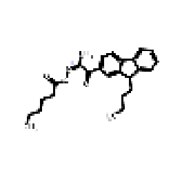 CCCCCC(=O)O/N=C(/C)C(=O)c1ccc2c(c1)C(CCCC)c1ccccc1-2